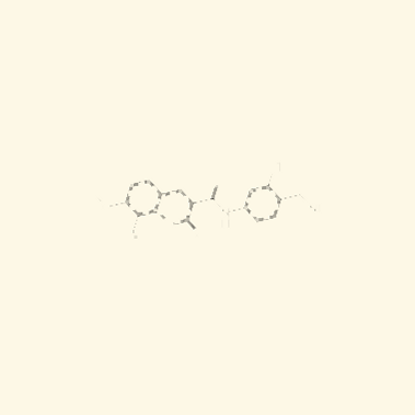 CCCc1c(OCC)ccc2cc(C(=O)Nc3ccc(CN)c(Cl)c3)c(=O)oc12